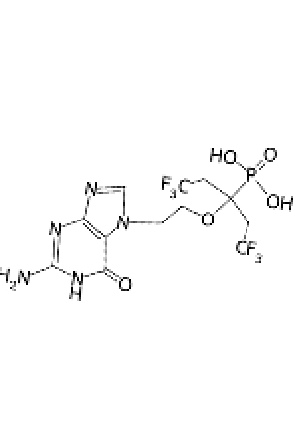 Nc1nc2ncn(CCOC(CC(F)(F)F)(CC(F)(F)F)P(=O)(O)O)c2c(=O)[nH]1